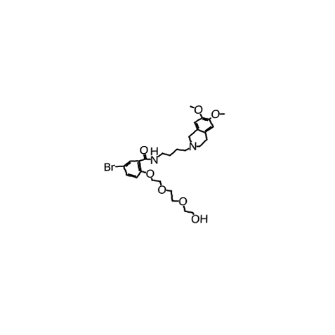 COc1cc2c(cc1OC)CN(CCCCNC(=O)c1cc(Br)ccc1OCCOCCOCCO)CC2